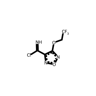 N=C(Cl)c1nonc1OCC(F)(F)F